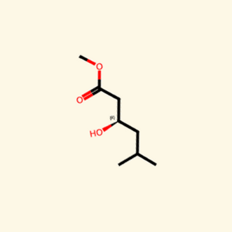 COC(=O)C[C@H](O)CC(C)C